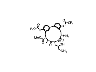 COC(=O)[C@@H]1Cc2cc(ccc2OC(=O)C(F)(F)F)-c2ccc(OC(=O)C(F)(F)F)c(c2)C[C@H](N)C(=O)N[C@@H](C[C@@H](O)CN)C(=O)N1C